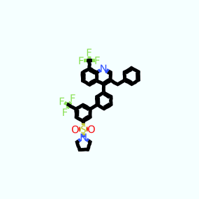 O=S(=O)(c1cc(-c2cccc(-c3c(Cc4ccccc4)cnc4c(C(F)(F)F)cccc34)c2)cc(C(F)(F)F)c1)N1CCCC1